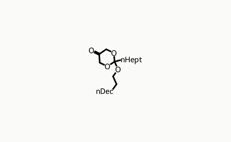 CCCCCCCCCCCCOC1(CCCCCCC)OCC(=O)CO1